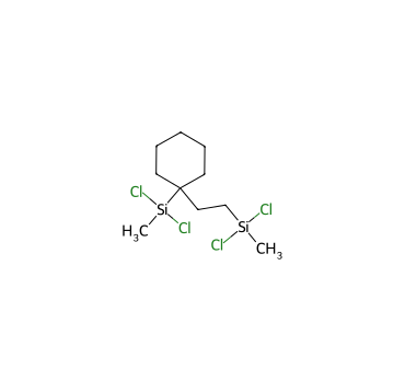 C[Si](Cl)(Cl)CCC1([Si](C)(Cl)Cl)CCCCC1